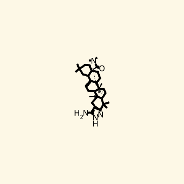 CN(C)C(=O)[C@]12CCC(C)(C)CC1C1=CCC3[C@@]4(C)Cc5c(n[nH]c5N)C(C)(C)C4CC[C@@]3(C)[C@]1(C)CC2